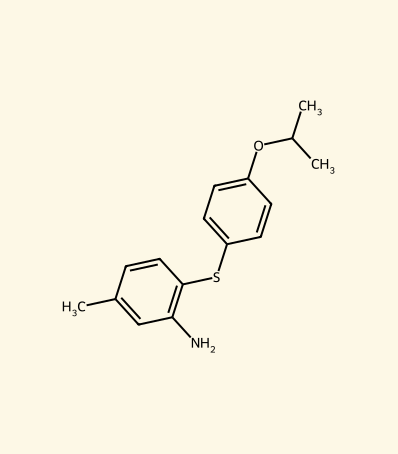 Cc1ccc(Sc2ccc(OC(C)C)cc2)c(N)c1